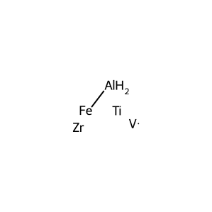 [AlH2][Fe].[Ti].[V].[Zr]